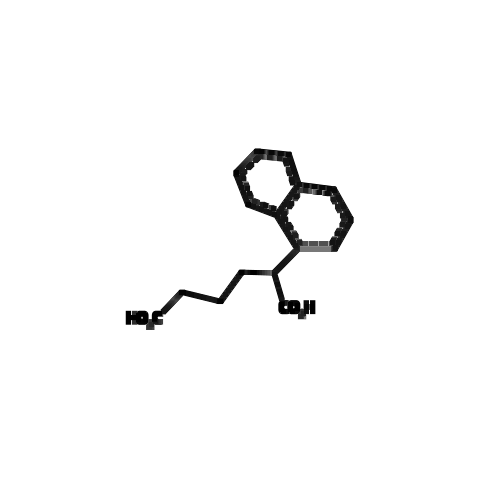 O=C(O)CCCC(C(=O)O)c1cccc2ccccc12